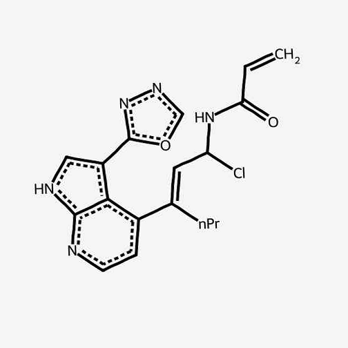 C=CC(=O)NC(Cl)C=C(CCC)c1ccnc2[nH]cc(-c3nnco3)c12